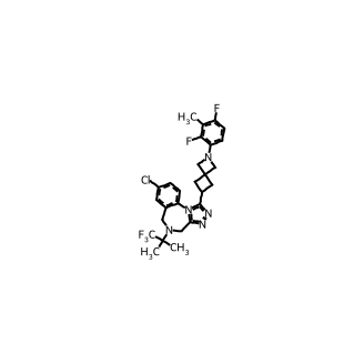 Cc1c(F)ccc(N2CC3(CC(c4nnc5n4-c4ccc(Cl)cc4CN(C(C)(C)C(F)(F)F)C5)C3)C2)c1F